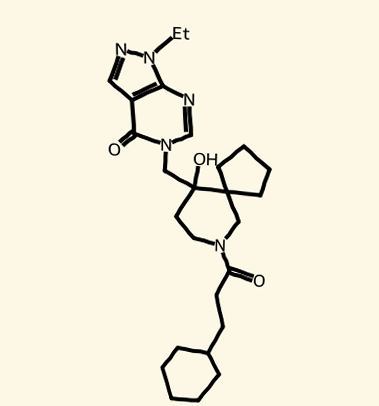 CCn1ncc2c(=O)n(CC3(O)CCN(C(=O)CCC4CCCCC4)CC34CCCC4)cnc21